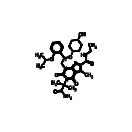 CCNC(=O)c1sc2c(c1C)c(=O)n(C(C)(C)C(N)=O)c(=O)n2C[C@H](O[C@H]1CC[C@H](O)CC1)c1ccccc1OC(C)C